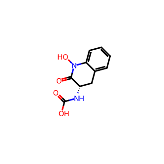 O=C(O)N[C@H]1Cc2ccccc2N(O)C1=O